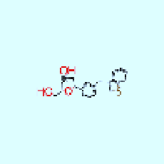 OCC1C[C@H](O)CC(c2cccc(Cc3csc4ccccc34)c2)O1